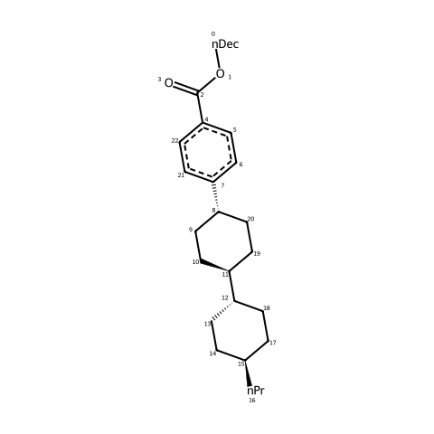 CCCCCCCCCCOC(=O)c1ccc([C@H]2CC[C@H]([C@H]3CC[C@H](CCC)CC3)CC2)cc1